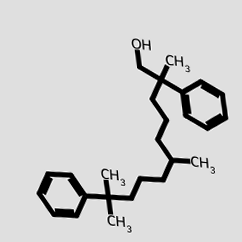 CC(CCCC(C)(C)c1ccccc1)CCCC(C)(CO)c1ccccc1